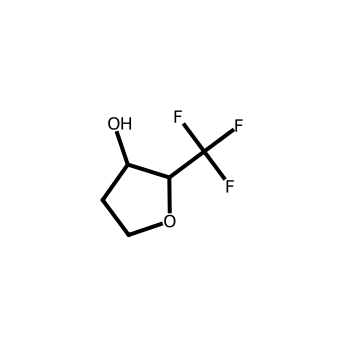 OC1CCOC1C(F)(F)F